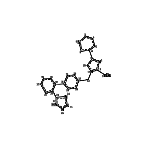 CCCCc1nc(-c2cccnc2)cn1Cc1ccc(-c2ccccc2-c2nnn[nH]2)cc1